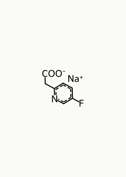 O=C([O-])Cc1ccc(F)cn1.[Na+]